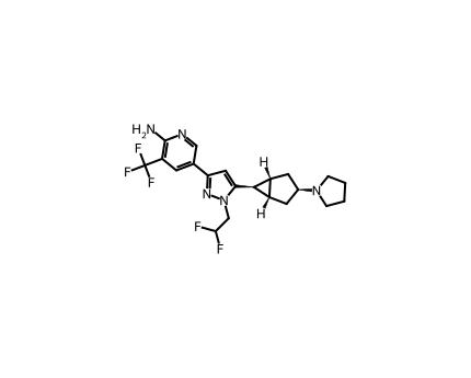 Nc1ncc(-c2cc([C@H]3[C@@H]4C[C@@H](N5CCCC5)C[C@@H]43)n(CC(F)F)n2)cc1C(F)(F)F